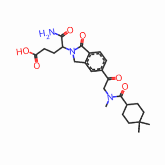 CN(CC(=O)c1ccc2c(c1)CN(C(CCC(=O)O)C(N)=O)C2=O)C(=O)C1CCC(C)(C)CC1